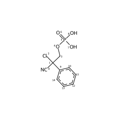 N#CC(Cl)(COP(=O)(O)O)c1ccccc1